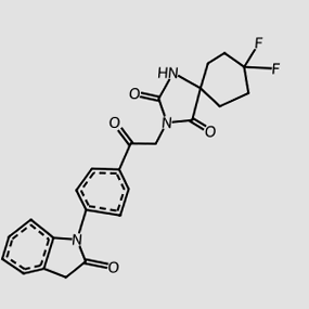 O=C(CN1C(=O)NC2(CCC(F)(F)CC2)C1=O)c1ccc(N2C(=O)Cc3ccccc32)cc1